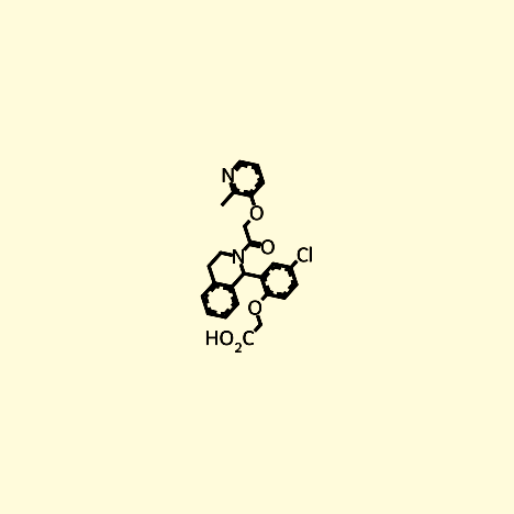 Cc1ncccc1OCC(=O)N1CCc2ccccc2C1c1cc(Cl)ccc1OCC(=O)O